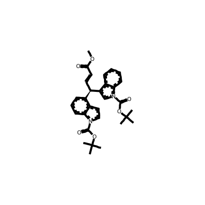 COC(=O)C=C[C@H](c1cccc2c1ccn2C(=O)OC(C)(C)C)c1cn(C(=O)OC(C)(C)C)c2ccccc12